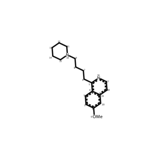 COc1ccc2c(CCCCN3CCCCC3)nccc2c1